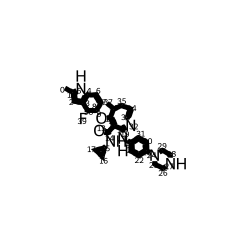 Cc1cc2c([nH]1)C=CC(O/C1=C(C(=O)NC3CC3)/C(Nc3ccc(N4CCNCC4)cc3)=N\C=C\CC1C)C2F